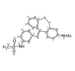 CC(=O)Nc1ccc2c(c1)CCc1ccccc1C2=Cc1cccc(NS(C)(=O)=O)c1